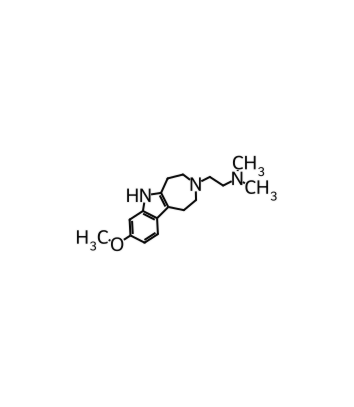 COc1ccc2c3c([nH]c2c1)CCN(CCN(C)C)CC3